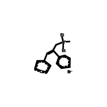 CC[N+](C)(CC)CC(=Cc1ccccc1)c1ccccc1.[Br-]